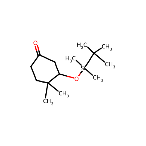 CC1(C)CCC(=O)CC1O[Si](C)(C)C(C)(C)C